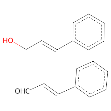 O=C/C=C/c1ccccc1.OC/C=C/c1ccccc1